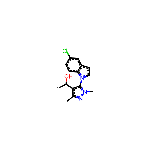 [CH2]C(O)c1c(C)nn(C)c1-n1ccc2cc(Cl)ccc21